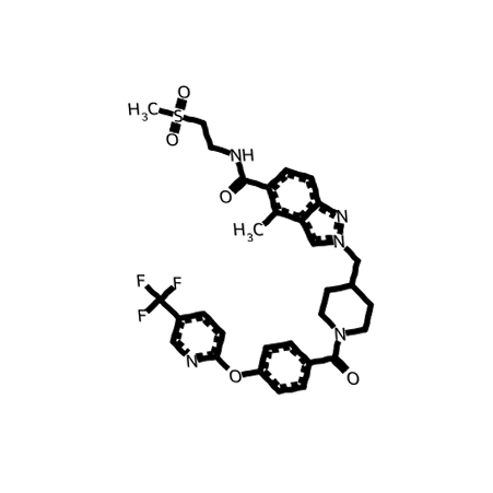 Cc1c(C(=O)NCCS(C)(=O)=O)ccc2nn(CC3CCN(C(=O)c4ccc(Oc5ccc(C(F)(F)F)cn5)cc4)CC3)cc12